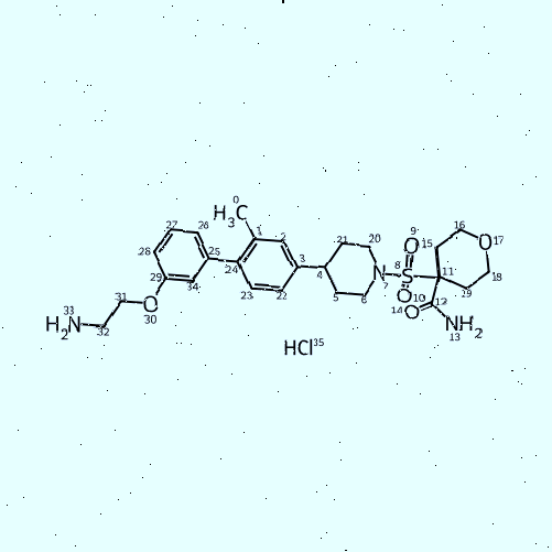 Cc1cc(C2CCN(S(=O)(=O)C3(C(N)=O)CCOCC3)CC2)ccc1-c1cccc(OCCN)c1.Cl